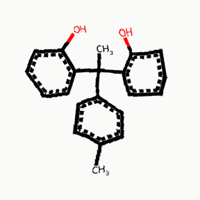 Cc1ccc(C(C)(c2ccccc2O)c2ccccc2O)cc1